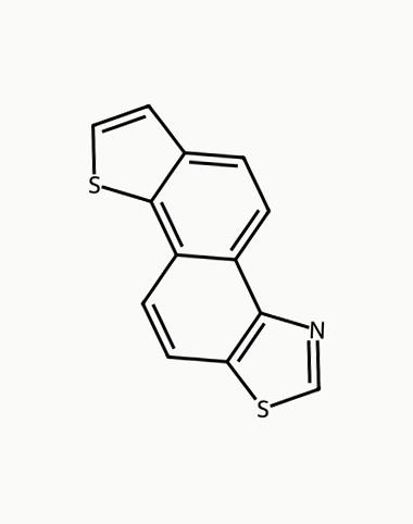 c1nc2c(ccc3c2ccc2ccsc23)s1